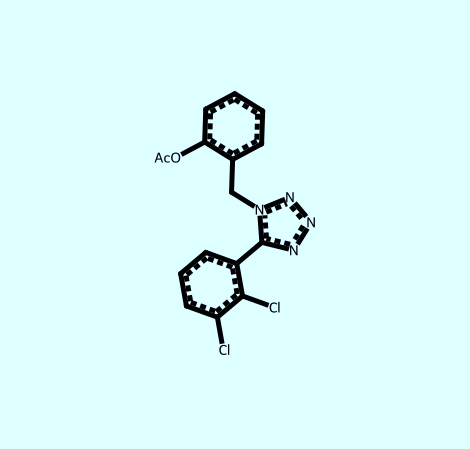 CC(=O)Oc1ccccc1Cn1nnnc1-c1cccc(Cl)c1Cl